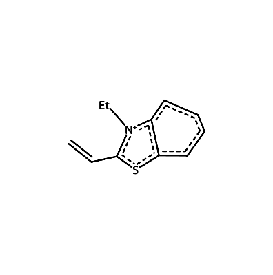 C=Cc1sc2ccccc2[n+]1CC